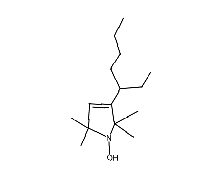 CCCCC(CC)C1=CC(C)(C)N(O)C1(C)C